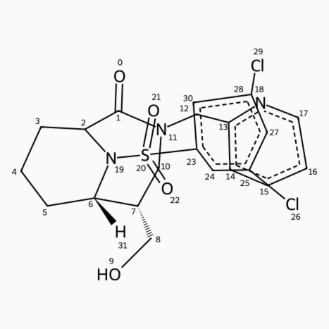 O=C1C2CCC[C@@H]([C@@H](CO)CN1Cc1ccccn1)N2S(=O)(=O)c1cc(Cl)cc(Cl)c1